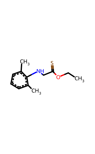 CCOC(=S)CNc1c(C)cccc1C